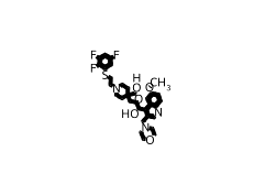 COc1ccc2ncc(CN3CCOCC3)c([C@@H](O)CCC3(C(=O)O)CCN(CCSc4cc(F)cc(F)c4F)CC3)c2c1